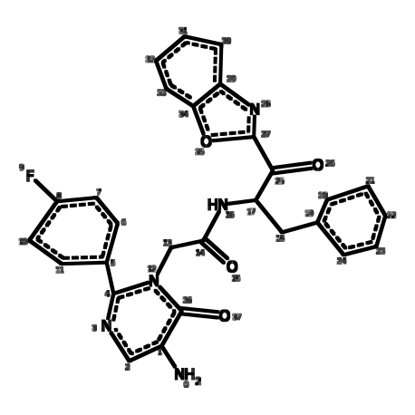 Nc1cnc(-c2ccc(F)cc2)n(CC(=O)NC(Cc2ccccc2)C(=O)c2nc3ccccc3o2)c1=O